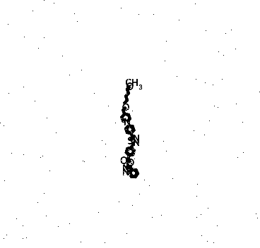 COCCCCCOCC1CCN(c2ccc(-c3nnc(-c4ccc(C(=O)On5nnc6ccccc65)cc4)s3)cc2)CC1